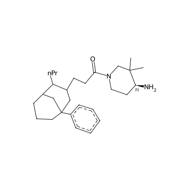 CCCC1C2CCCC(c3ccccc3)(C2)CC1CCC(=O)N1CC[C@H](N)C(C)(C)C1